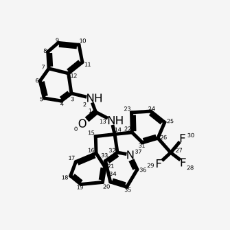 O=C(Nc1cccc2ccccc12)NC(Cc1ccccc1)(c1cccc(C(F)(F)F)c1)c1ccccn1